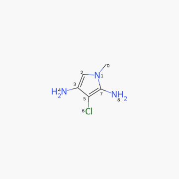 Cn1cc(N)c(Cl)c1N